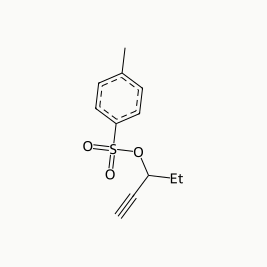 C#CC(CC)OS(=O)(=O)c1ccc(C)cc1